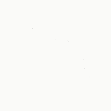 O=C(N1CC(c2ccc(NCC3(C(F)(F)F)CC3)nc2)C1)N1CC2(CC(n3cnc(C(F)(F)F)n3)C2)C1